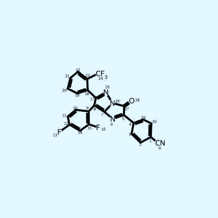 N#Cc1ccc(C2=Nc3c(-c4ccc(F)cc4F)c(-c4ccccc4C(F)(F)F)nn3C2=O)cc1